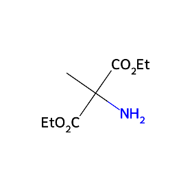 CCOC(=O)C(C)(N)C(=O)OCC